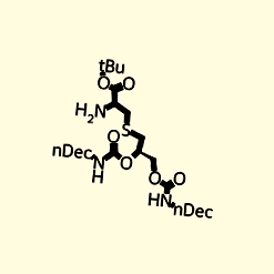 CCCCCCCCCCNC(=O)OC[C@H](CSCC(N)C(=O)OC(C)(C)C)OC(=O)NCCCCCCCCCC